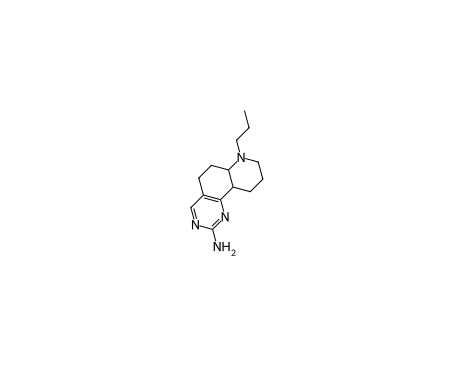 CCCN1CCCC2c3nc(N)ncc3CCC21